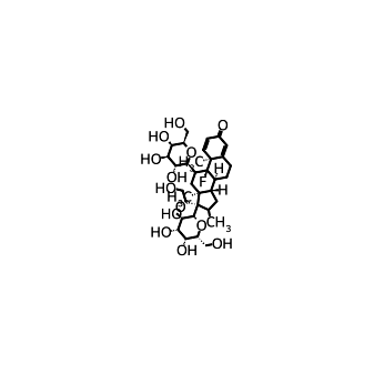 CC1C[C@H]2[C@@H]3CCC4=CC(=O)C=C[C@]4(C)[C@@]3(F)C([C@@H]3O[C@H](CO)[C@H](O)[C@H](O)[C@H]3O)C[C@]2(C)[C@]1(C(=O)CO)[C@@H]1O[C@H](CO)[C@H](O)[C@H](O)[C@H]1O